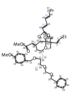 CC/C=C/C(C)(C)[C@]1(OC)O[C@H](C[C@@H](OCc2ccc(OC)cc2)[C@@H](C)OCOCc2ccccc2)C/C(=C\C(=O)OC)[C@@H]1OC(=O)/C=C/C=C/CCC